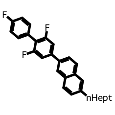 CCCCCCCc1ccc2cc(-c3cc(F)c(-c4ccc(F)cc4)c(F)c3)ccc2c1